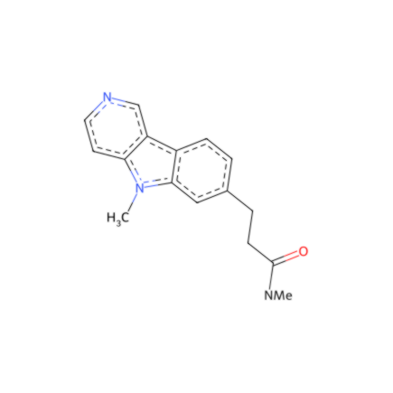 CNC(=O)CCc1ccc2c3cnccc3n(C)c2c1